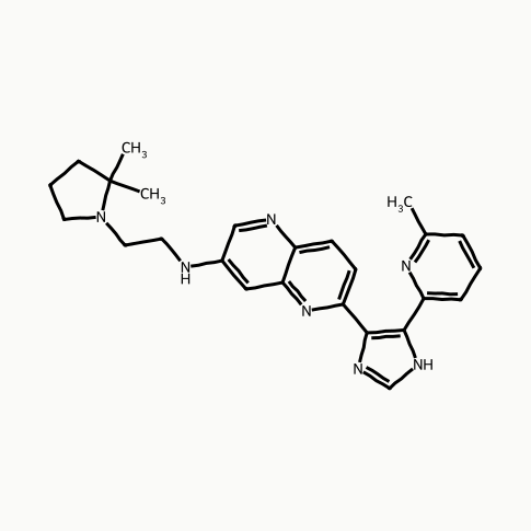 Cc1cccc(-c2[nH]cnc2-c2ccc3ncc(NCCN4CCCC4(C)C)cc3n2)n1